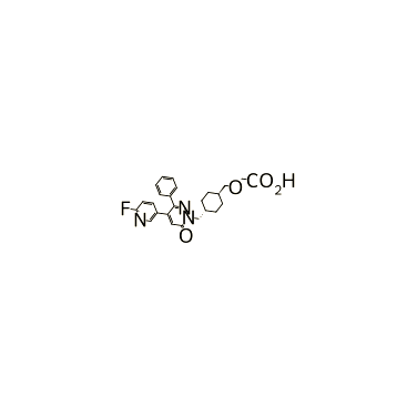 O=C(O)COC[C@H]1CC[C@H](Cn2nc(-c3ccccc3)c(-c3ccc(F)nc3)cc2=O)CC1